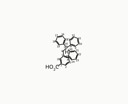 O=C(O)c1cccc(C[PH](c2ccccc2)(c2ccccc2)c2ccccc2)c1